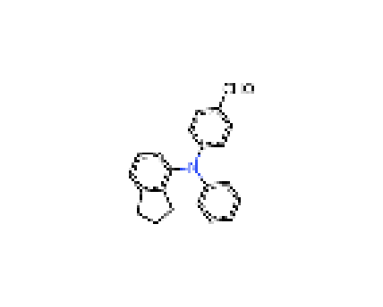 O=Cc1ccc(N(c2ccccc2)c2cccc3c2CCC3)cc1